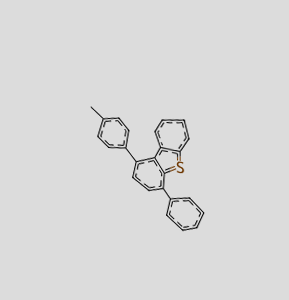 Cc1ccc(-c2ccc(-c3ccccc3)c3sc4ccccc4c23)cc1